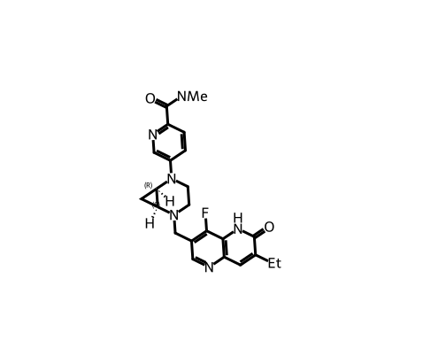 CCc1cc2ncc(CN3CCN(c4ccc(C(=O)NC)nc4)[C@@H]4C[C@@H]43)c(F)c2[nH]c1=O